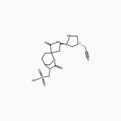 N#CC[C@H]1CN[C@H](COC2(C(N)=O)CCC3CN2C(=O)N3OS(=O)(=O)O)C1